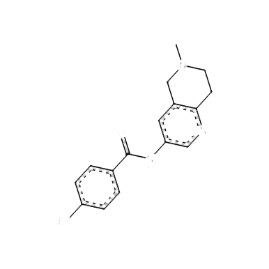 CC(C)c1ccc(C(=O)Nc2cnc3c(c2)CN(C)CC3)cc1